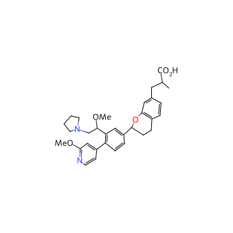 COc1cc(-c2ccc(C3CCc4ccc(CC(C)C(=O)O)cc4O3)cc2C(CN2CCCC2)OC)ccn1